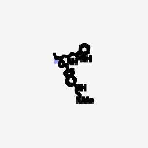 C/C=C\CC(Cc1c[nH]c2ccccc12)NC(=O)c1cc2ccc(NCCNC)cc2s1